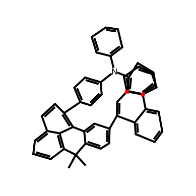 CC1(C)c2ccc(-c3cc4ccccc4c4ccccc34)cc2-c2c(-c3ccc(N(c4ccccc4)c4ccccc4)cc3)ccc3cccc1c23